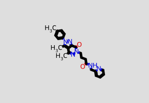 Cc1ccc(-n2nc3c(=O)n(CCCC(=O)NCc4ccccn4)nc(C)c3c2C)cc1